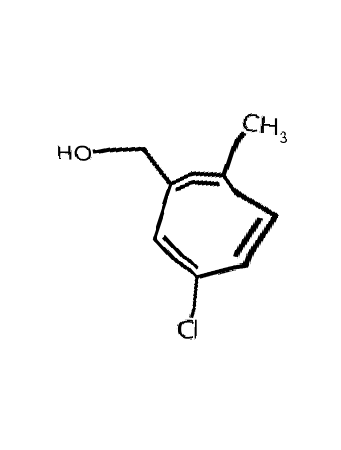 Cc1ccc(Cl)cc1CO